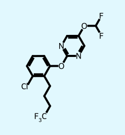 FC(F)Oc1cnc(Oc2cccc(Cl)c2CCCC(F)(F)F)nc1